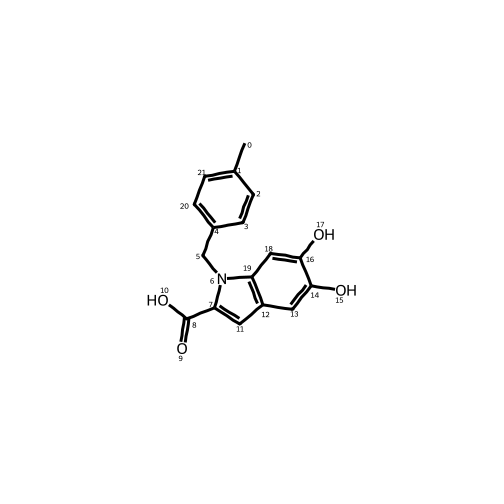 Cc1ccc(Cn2c(C(=O)O)cc3cc(O)c(O)cc32)cc1